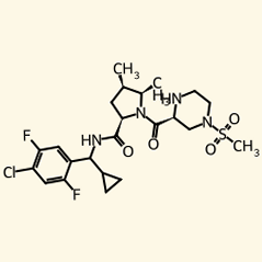 C[C@@H]1C[C@H](C(=O)NC(c2cc(F)c(Cl)cc2F)C2CC2)N(C(=O)[C@@H]2CN(S(C)(=O)=O)CCN2)[C@@H]1C